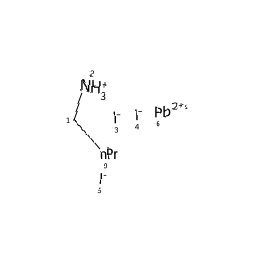 CCCC[NH3+].[I-].[I-].[I-].[Pb+2]